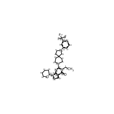 CCn1c(N2CCC3(CCN(c4ccnc(C(F)(F)F)c4)C3)CC2)nc2c(cnn2C2CCCCO2)c1=O